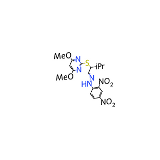 COc1cc(OC)nc(SC(C=NNc2ccc([N+](=O)[O-])cc2[N+](=O)[O-])C(C)C)n1